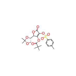 Cc1ccc(S(=O)(=O)OC2=C(OC(=O)C(C)(C)C)[C@@H]([C@@H]3COC(C)(C)O3)OC2=O)cc1